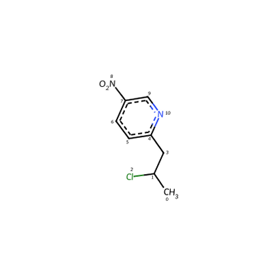 CC(Cl)Cc1ccc([N+](=O)[O-])cn1